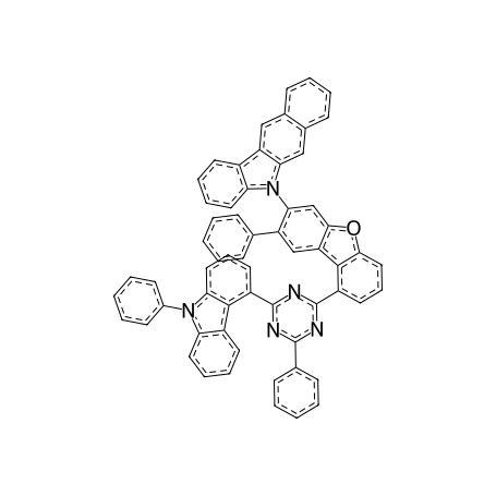 c1ccc(-c2nc(-c3cccc4oc5cc(-n6c7ccccc7c7cc8ccccc8cc76)c(-c6ccccc6)cc5c34)nc(-c3cccc4c3c3ccccc3n4-c3ccccc3)n2)cc1